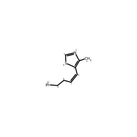 Cc1ncsc1/C=C\CCC(C)C